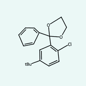 CC(C)(C)c1ccc(Cl)c(C2(c3ccccc3)OCCO2)c1